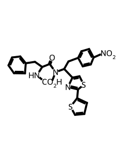 CN(C(=O)C(Cc1ccccc1)NC(=O)O)C(Cc1ccc([N+](=O)[O-])cc1)c1csc(-c2cccs2)n1